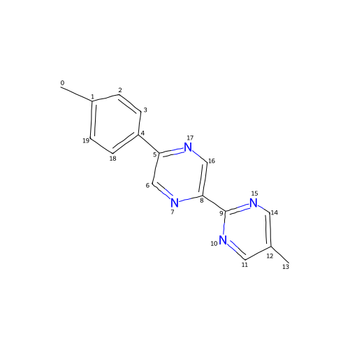 Cc1ccc(-c2cnc(-c3ncc(C)cn3)cn2)cc1